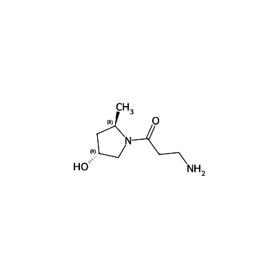 C[C@@H]1C[C@@H](O)CN1C(=O)CCN